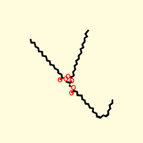 CCCCC/C=C\C/C=C\CCCCCCCCCCCC(=O)OC[C@@H](COC(=O)CCCCCCCCCCCCCCCCC)OC(=O)CCCCCCCCCCCCCCCCC